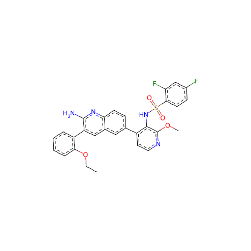 CCOc1ccccc1-c1cc2cc(-c3ccnc(OC)c3NS(=O)(=O)c3ccc(F)cc3F)ccc2nc1N